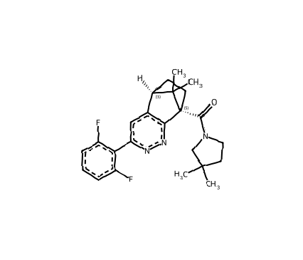 CC1(C)CCN(C(=O)[C@]23CC[C@H](c4cc(-c5c(F)cccc5F)nnc42)C3(C)C)C1